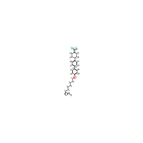 CCCCCCCCOc1ccc(-c2ccc([C@H]3CC[C@H](C(F)F)CC3)cc2)cc1